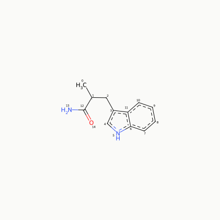 C[C](Cc1c[nH]c2ccccc12)C(N)=O